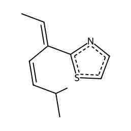 C/C=C(\C=C/C(C)C)c1nccs1